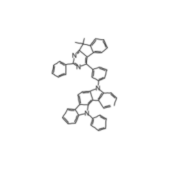 C=Cc1c(/C=C\C)n(-c2cccc(-c3nc(-c4ccccc4)nc4c3-c3ccccc3C4(C)C)c2)c2ccc3c4ccccc4n(-c4ccccc4)c3c12